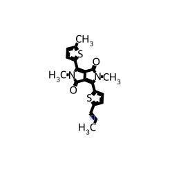 C/C=C/c1ccc(C2=C3C(=O)N(C)C(c4ccc(C)s4)=C3C(=O)N2C)s1